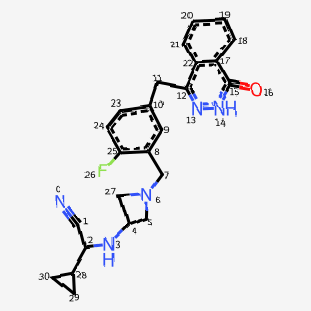 N#CC(NC1CN(Cc2cc(Cc3n[nH]c(=O)c4ccccc34)ccc2F)C1)C1CC1